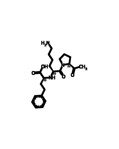 CC(=O)[C@@H]1CCCN1C(=O)[C@H](CCCCN)N[C@@H](CCc1ccccc1)C(=O)O